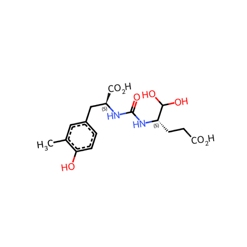 Cc1cc(C[C@H](NC(=O)N[C@@H](CCC(=O)O)C(O)O)C(=O)O)ccc1O